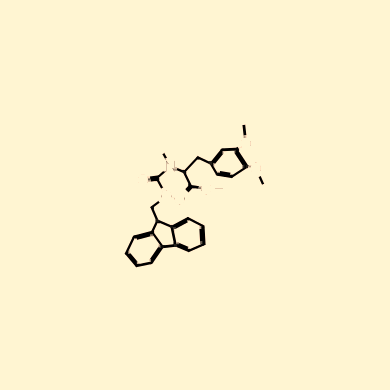 COc1ccc(CC(C(=O)O)N(C)C(=O)OCC2c3ccccc3-c3ccccc32)cc1OC